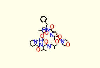 CCOC(=O)[C@@H](C)C[C@H](Cc1ccccc1)NC(=O)c1csc([C@@H](C[C@H](C(C)C)N(C)C(=O)[C@@H](NC(=O)[C@H]2CCCCN2C)C(C)C)OC(=O)N2CCOCC2)n1